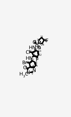 Cn1cnc2ccc(Nc3c(F)ccc(NS(=O)(=O)N4CCC(F)C4)c3Cl)c(Br)c2c1=O